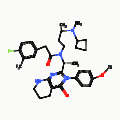 CCOc1ccc(-n2c([C@@H](C)N(CCC(C)N(C)C3CCC3)C(=O)Cc3ccc(F)c(C(F)(F)F)c3)nc3c(c2=O)CCCN3)cc1